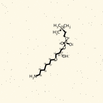 C[N+](C)(C)CCOP(=O)([O-])OC[C@H](O)COCCCCCCN